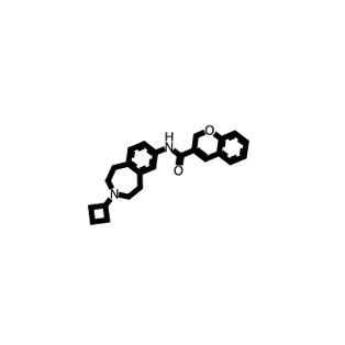 O=C(Nc1ccc2c(c1)CCN(C1CCC1)CC2)C1=Cc2ccccc2OC1